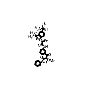 CCC(Oc1ccc(C(C)(C)CC)cc1C(C)(C)CC)C(=O)Nc1cccc(C(=O)C(OC)C(=O)Nc2ccccc2)c1